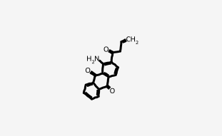 C=CCC(=O)c1ccc2c(c1N)C(=O)c1ccccc1C2=O